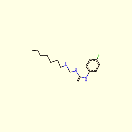 C=C(NCNCCCCCCC)Nc1ccc(Cl)cc1